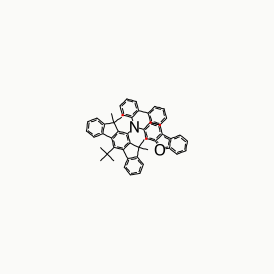 CC(C)(C)c1c2c(c(N(c3ccc4c(c3)oc3ccccc34)c3ccccc3-c3ccccc3)c3c1-c1ccccc1C3(C)C)C(C)(C)c1ccccc1-2